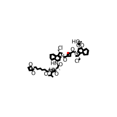 CC(C)[C@H](NC(=O)CCCCCN1C(=O)C=CC1=O)C(=O)N[C@@H](C)C(=O)Nc1cc2c(c3ccccc13)[C@H](CCl)CN2C(=O)C12CC(C(=O)N3C[C@@H](CCl)c4c3cc(OP(C)(=O)O)c3ccccc43)(C1)C2